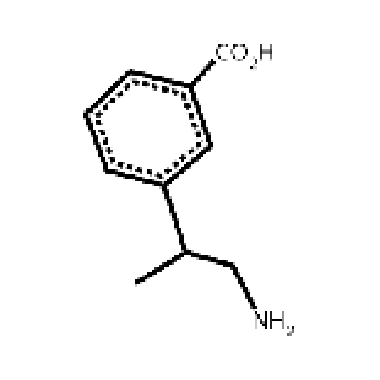 CC(CN)c1cccc(C(=O)O)c1